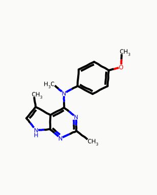 COc1ccc(N(C)c2nc(C)nc3[nH]cc(C)c23)cc1